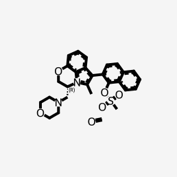 C=O.Cc1c(-c2ccc3ccccc3c2OS(C)(=O)=O)c2cccc3c2n1[C@H](CN1CCOCC1)CO3